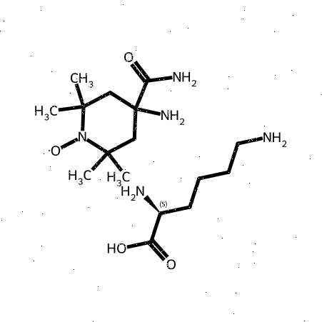 CC1(C)CC(N)(C(N)=O)CC(C)(C)N1[O].NCCCC[C@H](N)C(=O)O